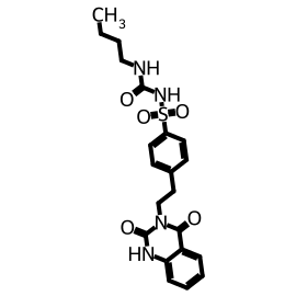 CCCCNC(=O)NS(=O)(=O)c1ccc(CCn2c(=O)[nH]c3ccccc3c2=O)cc1